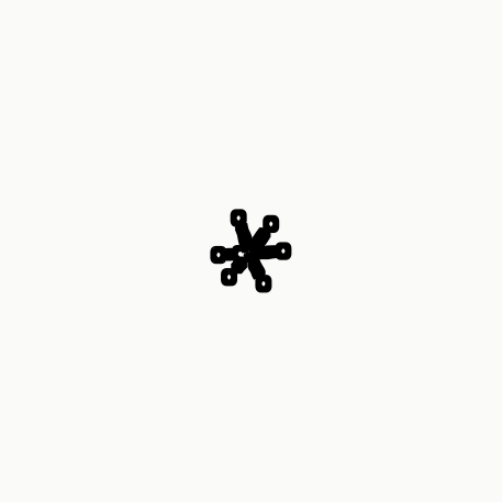 [O]=[Ca](=[O])(=[O])(=[O])(=[O])=[O]